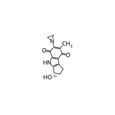 CC1=C(N2CC2)C(=O)c2[nH]c3c(c2C1=O)CC[C@@H]3O